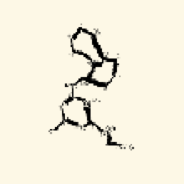 CCNc1nc(Cl)nc(Nc2cccc3ccccc23)n1